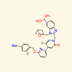 N#Cc1ccc(COc2cccc(-c3cc(=O)n(Cc4nc5ccc(C(O)O)cc5n4CC45CC(CO4)C5)cc3F)n2)c(F)c1